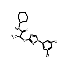 CC(Oc1ncn(-c2cc(Cl)cc(Cl)c2)n1)C(=O)NC1CCCCC1